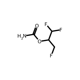 NC(=O)OC(CF)C(F)F